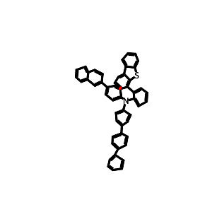 c1ccc(-c2ccc(-c3ccc(N(c4ccc(-c5ccc6ccccc6c5)cc4)c4ccccc4-c4cccc5c4sc4ccccc45)cc3)cc2)cc1